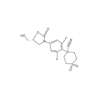 N#CC1(c2c(F)cc(N3C[C@H](CO)OC3=O)cc2F)CCS(=O)(=O)CC1